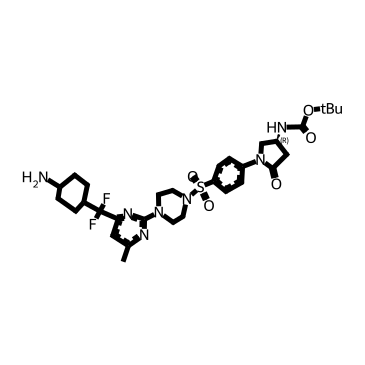 Cc1cc(C(F)(F)C2CCC(N)CC2)nc(N2CCN(S(=O)(=O)c3ccc(N4C[C@H](NC(=O)OC(C)(C)C)CC4=O)cc3)CC2)n1